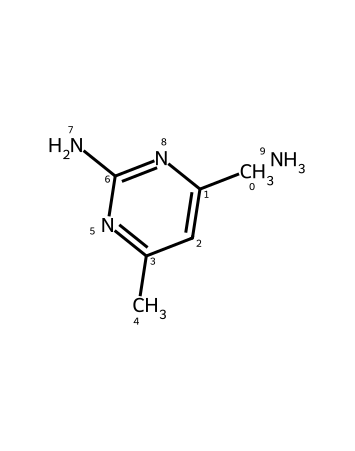 Cc1cc(C)nc(N)n1.N